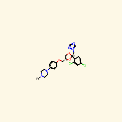 CC(C)N1CCN(c2ccc(OC[C@H]3CO[C@](Cn4cncn4)(C4CC=C(Cl)C=C4Cl)O3)cc2)CC1